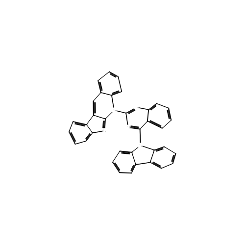 c1ccc2c(c1)cc1c3ccccc3nc-1n2-c1nc(-n2c3ccccc3c3ccccc32)c2ccccc2n1